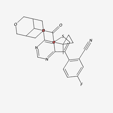 CC1(OC(=O)N2CC3COCC(C2)C3Oc2ncnc3c(-c4ccc(F)cc4C#N)csc23)CC1